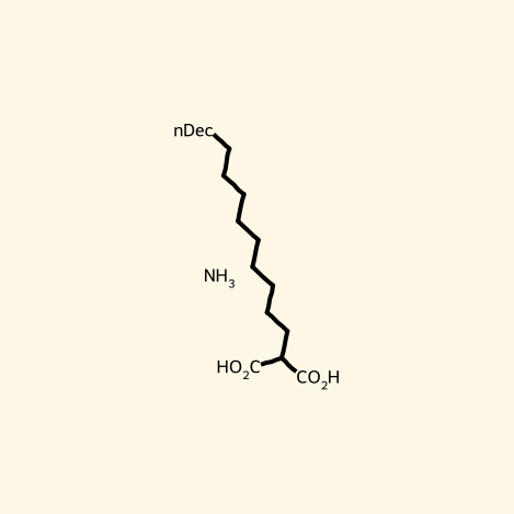 CCCCCCCCCCCCCCCCCCCC(C(=O)O)C(=O)O.N